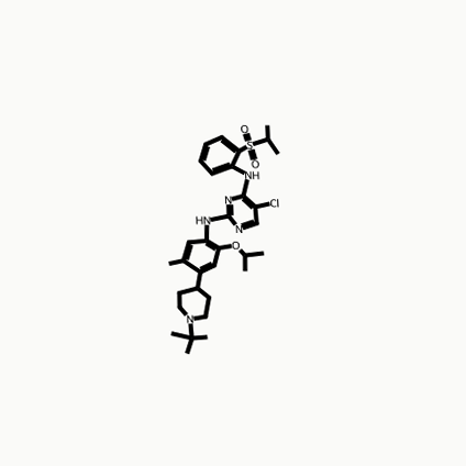 Cc1cc(Nc2ncc(Cl)c(Nc3ccccc3S(=O)(=O)C(C)C)n2)c(OC(C)C)cc1C1CCN(C(C)(C)C)CC1